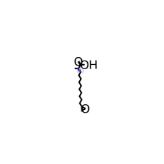 C/C(=C\CCCCCCCCCC1CO1)C(=O)O